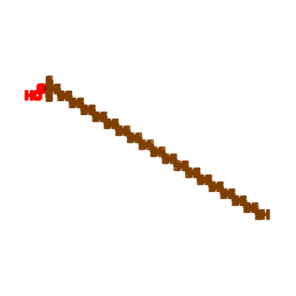 OOS(=S)(=S)SSSSSSSSSSSSSSSSSSSSSSSSSSSSSSSSSSSS